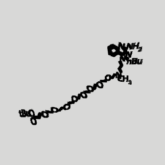 CCCCc1nc2c(N)nc3ccccc3c2n1CCCCN(C)CCOCCOCCOCCOCCOCCOCCOCCOCCC(=O)OC(C)(C)C